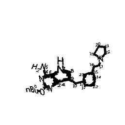 CCCCOc1nc(N)c2[nH]cc(Cc3cccc(CCN4CCCC4)c3)c2n1